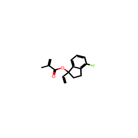 C=CC1(OC(=O)C(=C)C)CCc2c(F)cccc21